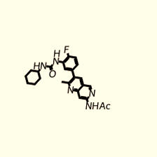 CC(=O)Nc1cc2nc(C)c(-c3ccc(F)c(NC(=O)NC4CCCCC4)c3)cc2cn1